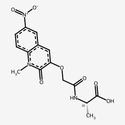 C[C@H](NC(=O)COc1cc2cc([N+](=O)[O-])ccc2n(C)c1=O)C(=O)O